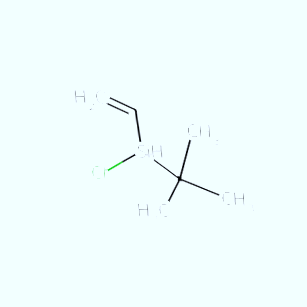 C=C[SiH](Cl)C(C)(C)C